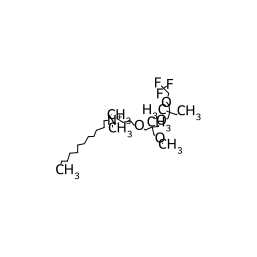 CCCCCCCCCCCC[N+](C)(C)CCCCOCC(C)(COC)COCC(C)(CC)COCC(F)(F)F